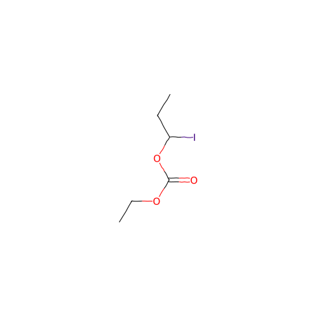 CCOC(=O)OC(I)CC